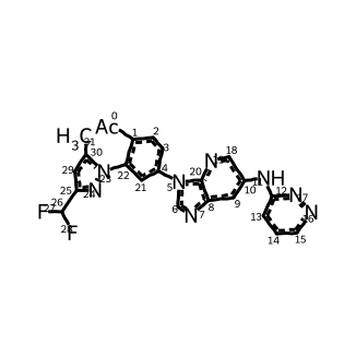 CC(=O)c1ccc(-n2cnc3cc(Nc4cccnn4)cnc32)cc1-n1nc(C(F)F)cc1C